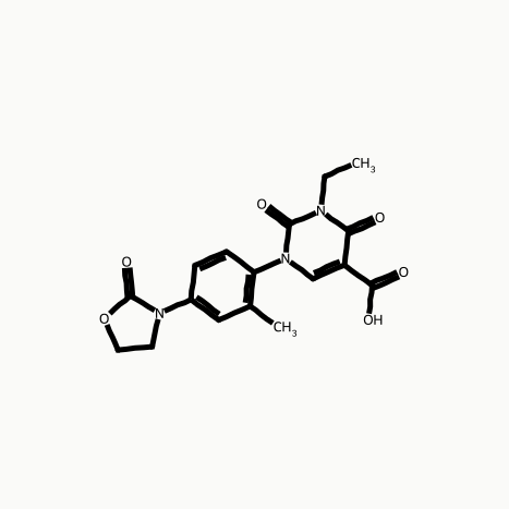 CCn1c(=O)c(C(=O)O)cn(-c2ccc(N3CCOC3=O)cc2C)c1=O